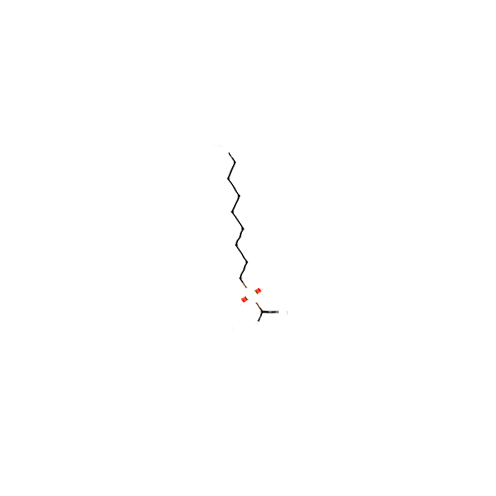 CCCCCCCCCCCCCCCCCCS(=O)(=O)C(CC)C(=O)O